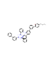 CCCCc1ccc2c(c1)oc1ccc(-c3ccc4c5ccccc5n(-c5ccccc5-c5nc(-c6ccccc6)nc(-c6cccc(-c7ccccc7)c6)n5)c4c3)cc12